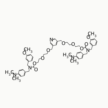 COc1cccc(CN(Cc2ccc(N(C)C)cc2)C(=O)OCCOCCOCc2cncc(COCCOCCOC(=O)N(Cc3ccc(N(C)C)cc3)Cc3cccc(OC)c3)c2)c1